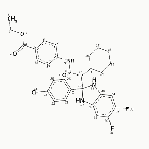 CCOC(=O)c1ccc(NC(=O)C(C2CCCCC2)C2(c3ccc(Cl)cc3)Nc3cc(F)c(F)cc3N2)cc1